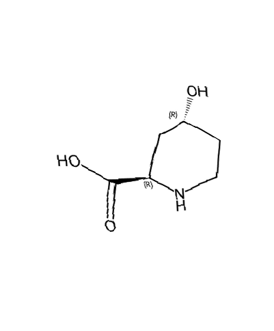 O=C(O)[C@H]1C[C@H](O)CCN1